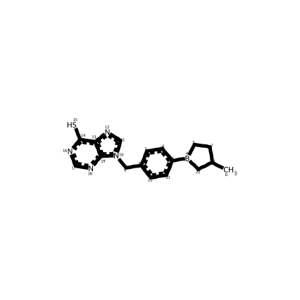 CC1CCB(c2ccc(Cn3cnc4c(S)ncnc43)cc2)C1